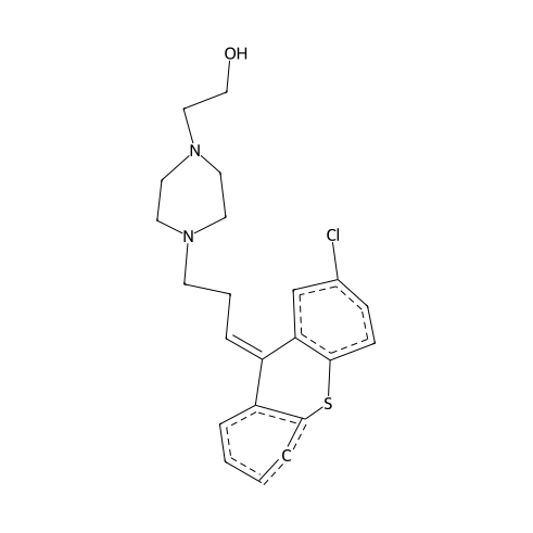 OCCN1CCN(CCC=C2c3ccccc3Sc3ccc(Cl)cc32)CC1